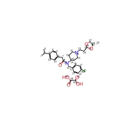 CC(C)c1ccc(CC(=O)N(Cc2ccc(F)cc2)C2CCN(CCC3OC[C@H](C)O3)CC2)cc1.O=C(O)C(=O)O